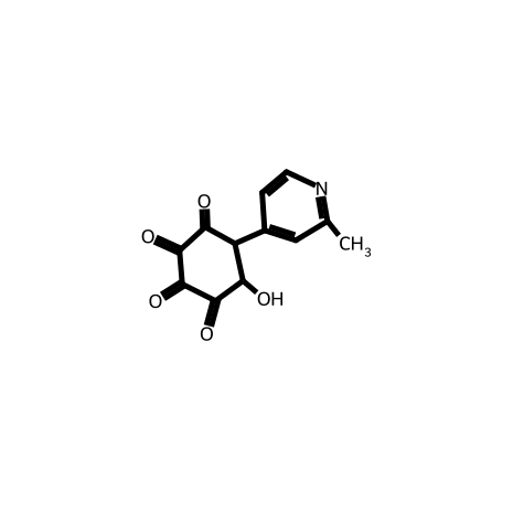 Cc1cc(C2C(=O)C(=O)C(=O)C(=O)C2O)ccn1